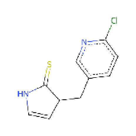 S=C1NC=CC1Cc1ccc(Cl)nc1